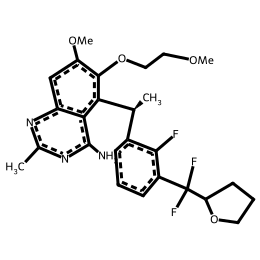 COCCOc1c(OC)cc2nc(C)nc(N)c2c1[C@@H](C)c1cccc(C(F)(F)C2CCCO2)c1F